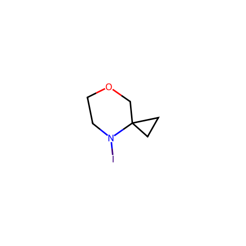 IN1CCOCC12CC2